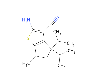 CC1CC(C(C)C)(C(C)C)c2c1sc(N)c2C#N